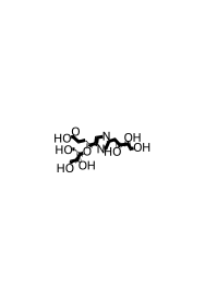 O=C(O)CC[C@@H](O[C@@H](CO)[C@H](O)CO)c1cnc(C[C@H](O)[C@H](O)CO)cn1